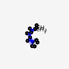 CC1(C)c2ccccc2-c2cc(-n3c4ccccc4c4c5c6ccccc6n(-c6ccc7c(c6)c6ccccc6n7-c6nc(-c7cccc8ccccc78)cc(-c7cccc8ccccc78)n6)c5ccc43)ccc21